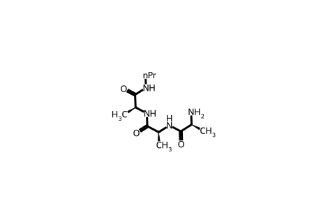 CCCNC(=O)[C@H](C)NC(=O)[C@H](C)NC(=O)[C@H](C)N